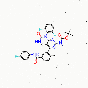 Cc1ccc(C(=O)Nc2ccc(F)cc2)cc1-c1nc(N(C)C(=O)OC(C)(C)C)nc2c1CNC(=O)N2c1c(F)cccc1F